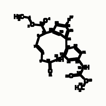 CCOC(=O)C1C/C=C/CC(=O)Nc2cc(NC(=O)OC)ccc2-c2cc(F)cc1c2